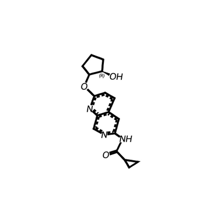 O=C(Nc1cc2ccc(OC3CCC[C@H]3O)nc2cn1)C1CC1